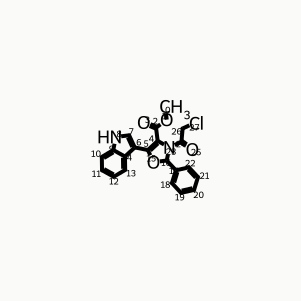 COC(=O)C1=C(c2c[nH]c3ccccc23)OC(c2ccccc2)N1C(=O)CCl